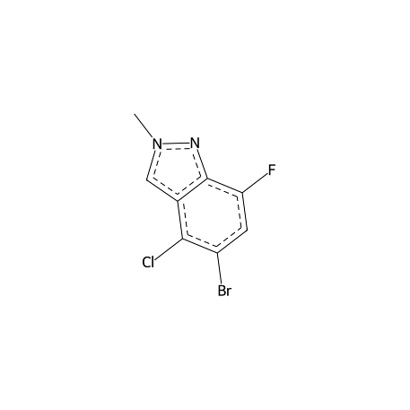 Cn1cc2c(Cl)c(Br)cc(F)c2n1